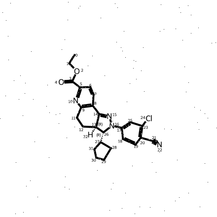 CCOC(=O)c1ccc2c(n1)CC[C@H]1C2=NN(c2ccc(C#N)c(Cl)c2)[C@@H]1C1CCCC1